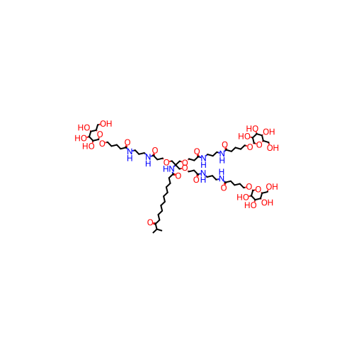 CC(C)C(=O)CCCCCCCCCCC(=O)NC(COCCC(=O)NCCCNC(=O)CCCCO[C@H]1OC(CO)[C@@H](O)C(O)C1O)(COCCC(=O)NCCCNC(=O)CCCCO[C@H]1OC(CO)[C@@H](O)C(O)C1O)COCCC(=O)NCCCNC(=O)CCCCO[C@H]1OC(CO)[C@@H](O)C(O)C1O